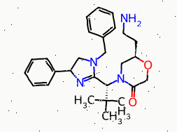 CC(C)(C)[C@H](C1=NC(c2ccccc2)CN1Cc1ccccc1)N1C[C@@H](CCN)OCC1=O